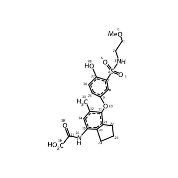 COCCNS(=O)(=O)c1cc(Oc2c(C)cc(NC(=O)C(=O)O)c3c2CCC3)ccc1O